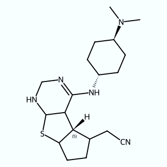 CN(C)[C@H]1CC[C@H](NC2=NCNC3SC4CCC(CC#N)[C@H]4C23)CC1